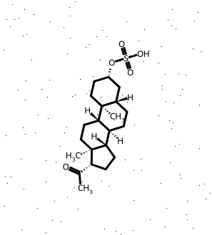 CC(=O)[C@H]1CC[C@H]2[C@@H]3CC[C@H]4C[C@@H](OS(=O)(=O)O)CC[C@]4(C)[C@H]3CC[C@]12C